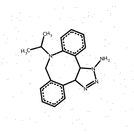 CC(C)N1Cc2ccccc2C2N=NN(N)C2c2ccccc21